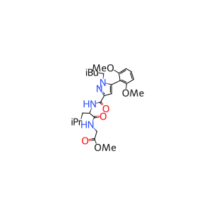 CCC(C)Cn1nc(C(=O)NC(CC(C)C)C(=O)NCC(=O)OC)cc1-c1c(OC)cccc1OC